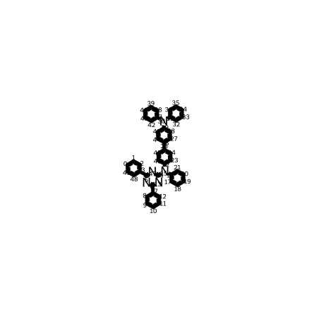 c1ccc(-c2nc(-c3ccccc3)nc(N(c3ccccc3)c3ccc(-c4ccc(N(c5ccccc5)c5ccccc5)cc4)cc3)n2)cc1